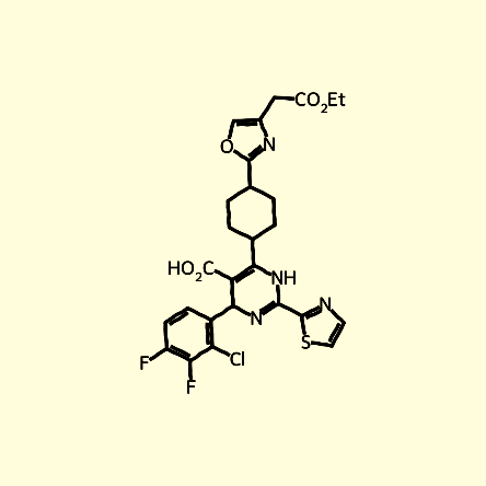 CCOC(=O)Cc1coc(C2CCC(C3=C(C(=O)O)C(c4ccc(F)c(F)c4Cl)N=C(c4nccs4)N3)CC2)n1